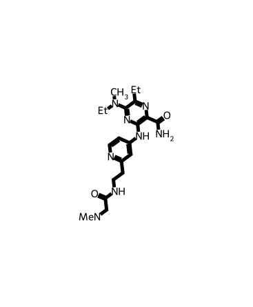 CCc1nc(C(N)=O)c(Nc2ccnc(CCNC(=O)CNC)c2)nc1N(C)CC